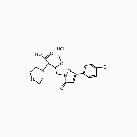 COC(Cn1oc(-c2ccc(Cl)cc2)cc1=O)C(C(=O)O)N1CCOCC1.Cl